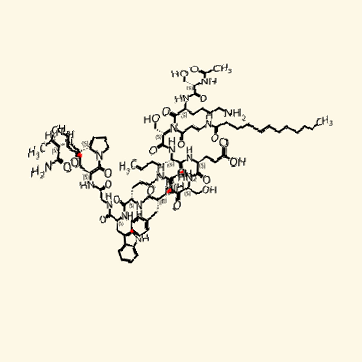 CCCCCCCCCCCC(=O)NCCC(=O)N(C(=O)[C@H](CCCCN)NC(=O)[C@H](CO)NC(C)=O)[C@@H](CO)C(=O)N[C@@H](CCCC)C(=O)N[C@@H](CCC(=O)O)C(=O)N[C@@H](CO)C(=O)N[C@H](Cc1ccccc1)C(=O)N[C@@H](CCCNC(=N)N)C(=O)N[C@@H](Cc1c[nH]c2ccccc12)C(=O)NCC(=O)N[C@@H](CCCCN)C(=O)N1CCC[C@H]1C(=O)N[C@H](C(N)=O)C(C)C